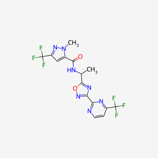 CC(NC(=O)c1cc(C(F)(F)F)nn1C)c1nc(-c2nccc(C(F)(F)F)n2)no1